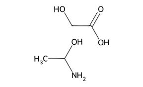 CC(N)O.O=C(O)CO